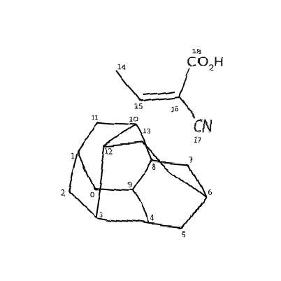 C1C2CC3C4CC5CC(C14)C(C2)C3C5.CC=C(C#N)C(=O)O